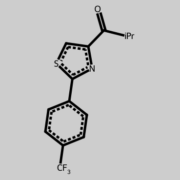 CC(C)C(=O)c1csc(-c2ccc(C(F)(F)F)cc2)n1